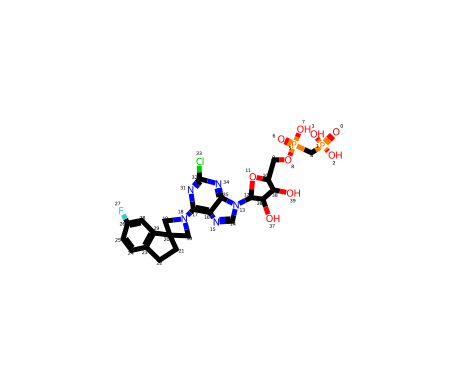 O=P(O)(O)CP(=O)(O)OCC1OC(n2cnc3c(N4CC5(CCc6ccc(F)cc65)C4)nc(Cl)nc32)C(O)C1O